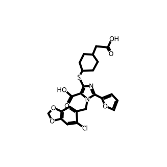 O=C(O)CC1CCC(Sc2nc(-c3ccco3)n(Cc3cc4c(cc3Cl)OCO4)c2C(=O)O)CC1